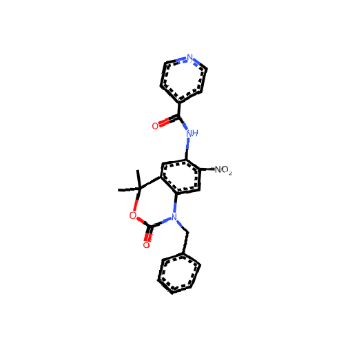 CC1(C)OC(=O)N(Cc2ccccc2)c2cc([N+](=O)[O-])c(NC(=O)c3ccncc3)cc21